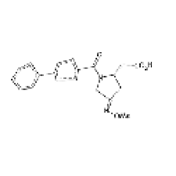 CO/N=C1\C[C@@H](CC(=O)O)N(C(=O)c2ccc(-c3ccccc3)cc2)C1